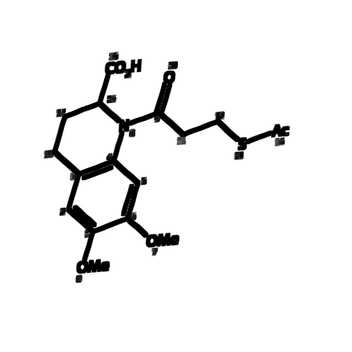 COc1cc2c(cc1OC)N(C(=O)CCSC(C)=O)C(C(=O)O)CC2